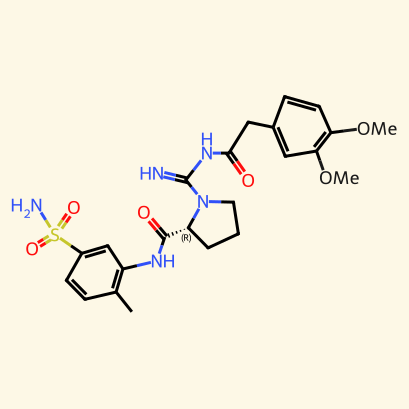 COc1ccc(CC(=O)NC(=N)N2CCC[C@@H]2C(=O)Nc2cc(S(N)(=O)=O)ccc2C)cc1OC